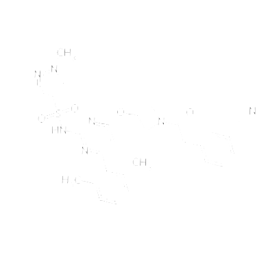 Cc1cccc(C)c1-c1cc(OC2CN(C(=O)Cc3cccc(C#N)c3)C2)nc(NS(=O)(=O)c2cnn(C)c2)n1